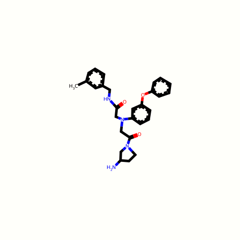 Cc1cccc(CNC(=O)CN(CC(=O)N2CCC(N)C2)c2cccc(Oc3ccccc3)c2)c1